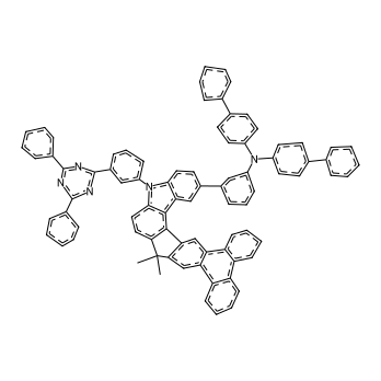 CC1(C)c2cc3c4ccccc4c4ccccc4c3cc2-c2c1ccc1c2c2cc(-c3cccc(N(c4ccc(-c5ccccc5)cc4)c4ccc(-c5ccccc5)cc4)c3)ccc2n1-c1cccc(-c2nc(-c3ccccc3)nc(-c3ccccc3)n2)c1